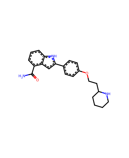 NC(=O)c1cccc2[nH]c(-c3ccc(OCCC4CCCCN4)cc3)cc12